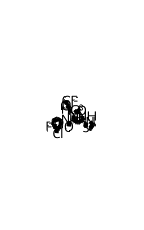 O=C(Nc1ccc(F)c(Cl)c1)[C@@H]1C[C@H](c2nccs2)NS(=O)(=O)N1CCOC(F)(F)F